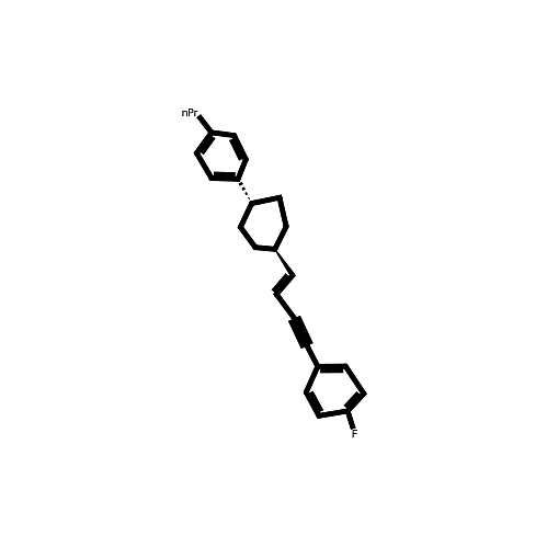 CCCc1ccc([C@H]2CC[C@H](/C=C/C#Cc3ccc(F)cc3)CC2)cc1